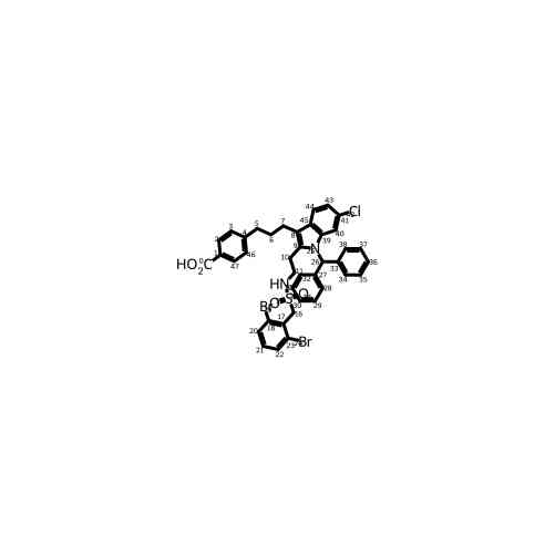 O=C(O)c1ccc(CCCc2c(CCNS(=O)(=O)Cc3c(Br)cccc3Br)n(C(c3ccccc3)c3ccccc3)c3cc(Cl)ccc23)cc1